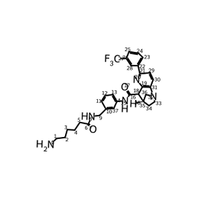 NCCCCCC(=O)NCc1cccc(NC(=O)C2c3nc(-c4cccc(C(F)(F)F)c4)ccc3N3CC[C@H]2C3)c1